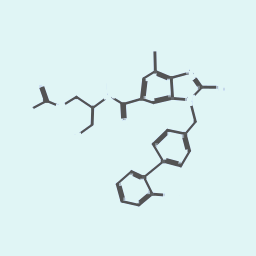 CCCc1nc2c(C)cc(C(=O)NC(CSC(=O)CC)CC(C)C)cc2n1Cc1ccc(-c2ccccc2C(=O)O)cc1